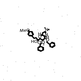 COc1ccc(CC[C@](O)(C2O[C@@H]3CC(N(C)C)=N[C@@H]3[C@@H](OCc3ccccc3)[C@@H]2OCc2ccccc2)C(F)(F)F)cc1